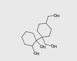 OCC1CCC(CO)(C2(O)CCCCC2O)CC1